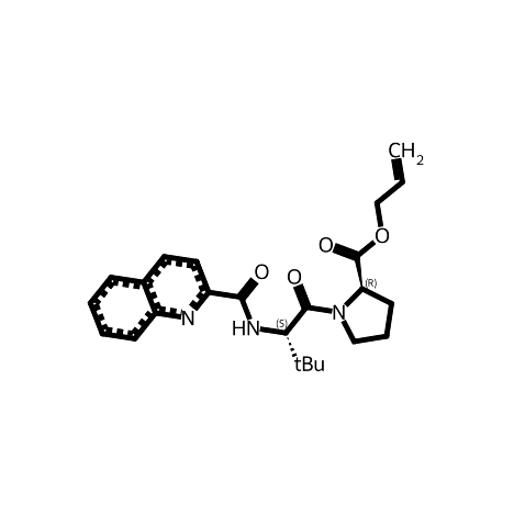 C=CCOC(=O)[C@H]1CCCN1C(=O)[C@@H](NC(=O)c1ccc2ccccc2n1)C(C)(C)C